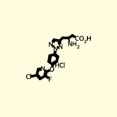 Cl.N[C@H](CC(=O)O)Cc1cnn(-c2ccc(Oc3ncc(Cl)cc3F)cc2)n1